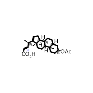 CC(=O)O[C@H]1CC[C@@]2(C)[C@H](CC[C@@H]3[C@@H]2CC[C@]2(C)C([C@H](C)/C=C/C(=O)O)=CC[C@@H]32)C1